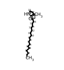 CCCCCCCCCCCCCCCCCC(=O)OC1(C)CCNC1